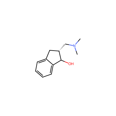 CN(C)C[C@H]1Cc2ccccc2C1O